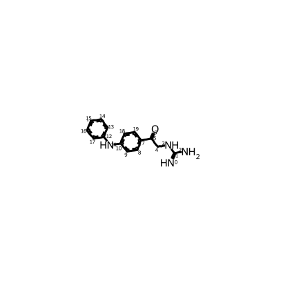 N=C(N)NCC(=O)c1ccc(Nc2cc[c]cc2)cc1